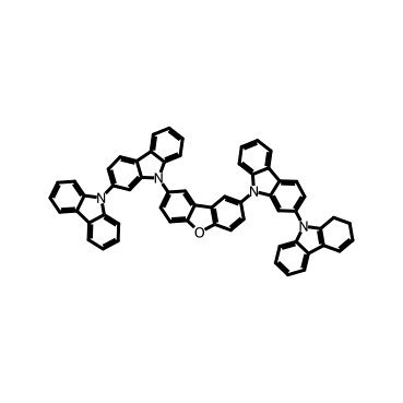 C1=Cc2c(n(-c3ccc4c5ccccc5n(-c5ccc6oc7ccc(-n8c9ccccc9c9ccc(-n%10c%11ccccc%11c%11ccccc%11%10)cc98)cc7c6c5)c4c3)c3ccccc23)CC1